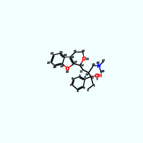 CCC(O)(c1ccccc1)C(CC1OCCc2c1oc1ccccc21)CN(C)C